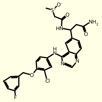 C[S+]([O-])CC(=O)NC(CC(N)=O)c1ccc2ncnc(Nc3ccc(OCc4cccc(F)c4)c(Cl)c3)c2c1